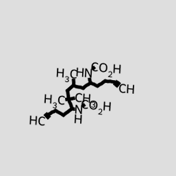 C#CCCC(CC(C)CC(C)(C)C(CCC#C)NC(=O)O)NC(=O)O